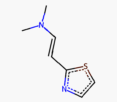 CN(C)C=Cc1nccs1